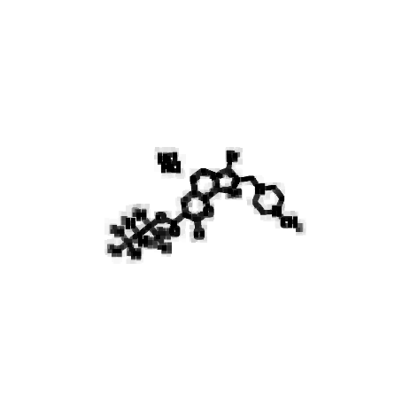 Cl.Cl.[2H]C([2H])([2H])C([2H])([2H])C([2H])(OC(=O)c1cc2ccc3c(Br)c(CN4CCN(C)CC4)[se]c3c2oc1=O)C([2H])([2H])[2H]